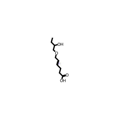 CCC(O)COC/C=C/CCC(=O)O